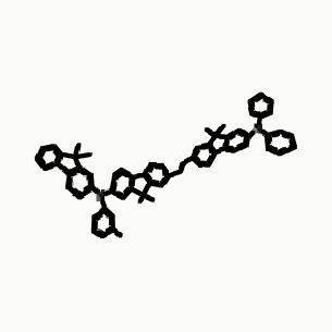 Cc1cccc(N(c2ccc3c(c2)C(C)(C)c2ccccc2-3)c2ccc3c(c2)C(C)(C)c2cc(/C=C/c4ccc5c(c4)C(C)(C)c4cc(N(c6ccccc6)c6ccccc6)ccc4-5)ccc2-3)c1